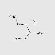 C=C.CCCCCC(COC=O)CC(C)C